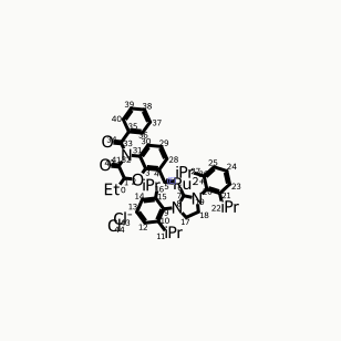 CCC1Oc2c(/[CH]=[Ru+2]/[CH]3N(c4c(C(C)C)cccc4C(C)C)CCN3c3c(C(C)C)cccc3C(C)C)cccc2N(C(=O)c2ccccc2)C1=O.[Cl-].[Cl-]